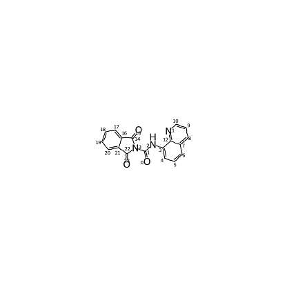 O=C(Nc1cccc2cccnc12)N1C(=O)c2ccccc2C1=O